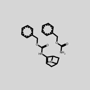 NC(=O)OCc1ccccc1.O=C(NC1=CCC2CC1N2)OCc1ccccc1